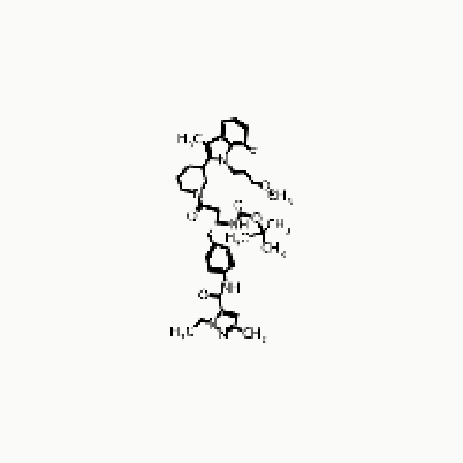 CCn1nc(C)cc1C(=O)Nc1ccc(C[C@H](CC(=O)N2CCCC(c3c(C)c4cccc(F)c4n3CCCOC)C2)NC(=O)OC(C)(C)C)cc1